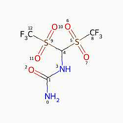 NC(=O)NC(S(=O)(=O)C(F)(F)F)S(=O)(=O)C(F)(F)F